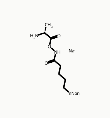 CCCCCCCCCCCCCC(=O)NOC(=O)[C@H](C)N.[Na]